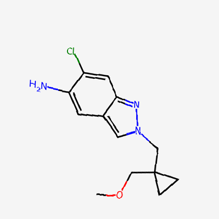 COCC1(Cn2cc3cc(N)c(Cl)cc3n2)CC1